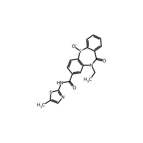 CCN1C(=O)c2ccccc2[S+]([O-])c2ccc(C(=O)Nc3ncc(C)s3)cc21